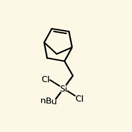 CCCC[Si](Cl)(Cl)CC1CC2C=CC1C2